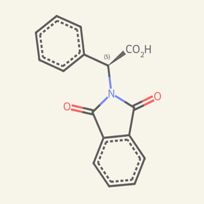 O=C(O)[C@H](c1ccccc1)N1C(=O)c2ccccc2C1=O